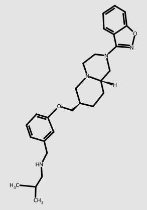 CC(C)CNCc1cccc(OC[C@@H]2CC[C@H]3CN(c4noc5ccccc45)CCN3C2)c1